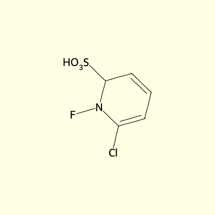 O=S(=O)(O)C1C=CC=C(Cl)N1F